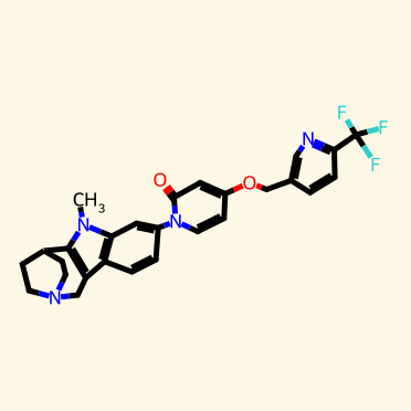 Cn1c2c(c3ccc(-n4ccc(OCc5ccc(C(F)(F)F)nc5)cc4=O)cc31)CN1CCC2CC1